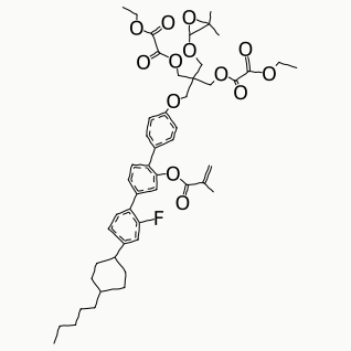 C=C(C)C(=O)Oc1cc(-c2ccc(C3CCC(CCCCC)CC3)cc2F)ccc1-c1ccc(OCC(COC(=O)C(=O)OCC)(COC(=O)C(=O)OCC)COC2OC2(C)C)cc1